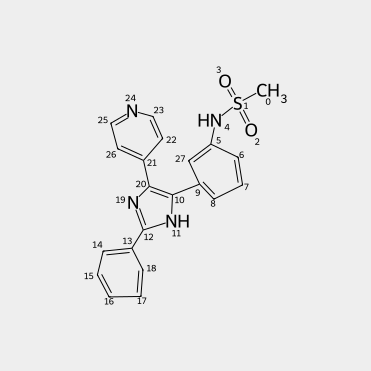 CS(=O)(=O)Nc1cccc(-c2[nH]c(-c3ccccc3)nc2-c2ccncc2)c1